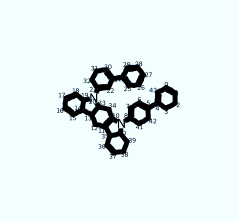 C1=CCCC(C2=CC=C(N3C4=C(CC5C6C=CC=CC6N(C6=CC(c7ccccc7)=CCC6)C5C4)C4C=CCCC43)CC2)=C1